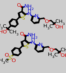 CC(C)(O)COCc1cccc(Nc2sc(-c3ccc(C(C)(C)O)cc3)cc2C(N)=O)n1.CC(C)(O)COCc1cccc(Nc2sc(-c3ccc(S(C)(=O)=O)cc3)cc2C(N)=O)n1